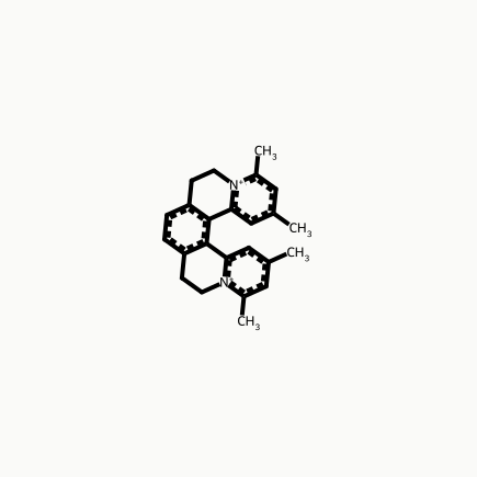 Cc1cc(C)[n+]2c(c1)-c1c(ccc3c1-c1cc(C)cc(C)[n+]1CC3)CC2